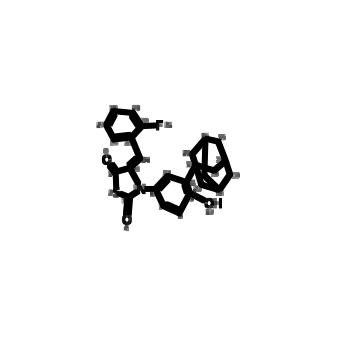 O=C1SC(=O)N(c2ccc(O)c(C34CC5CC(CC(C5)C3)C4)c2)C1=Cc1ccccc1F